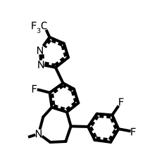 CN1CCC(c2ccc(F)c(F)c2)c2ccc(-c3ccc(C(F)(F)F)nn3)c(F)c2C1